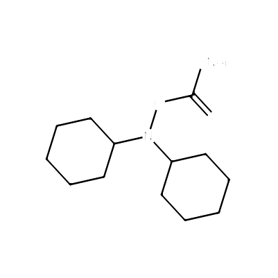 CCCCCCCCCC(=O)ON(C1CCCCC1)C1CCCCC1